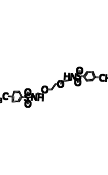 Cc1ccc(S(=O)(=O)NCCOCCOCCNS(=O)(=O)c2ccc(C)cc2)cc1